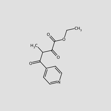 CCOC(=O)C(=O)C(C)C(=O)c1ccncc1